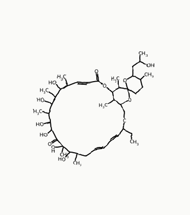 CCC1/C=C/C=C/CC(C)C(O)C(C)(O)C(=O)C(O)C(O)C(C)C(O)C(C)C(O)C(C)/C=C/C(=O)OC2C(C)C(CC1)OC1(CCC(C)C(CC(C)O)O1)C2C